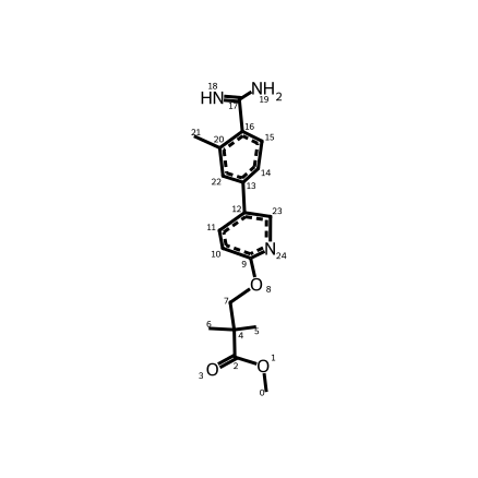 COC(=O)C(C)(C)COc1ccc(-c2ccc(C(=N)N)c(C)c2)cn1